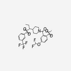 CCC(C1CCN(C(=O)c2cc(OC(F)F)ccc2S(C)(=O)=O)CC1)S(=O)(=O)c1cccc(C(F)(F)F)c1